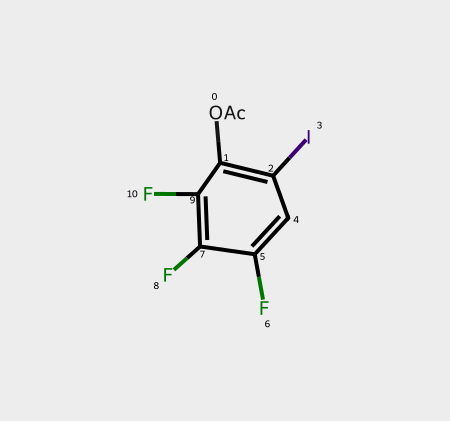 CC(=O)Oc1c(I)cc(F)c(F)c1F